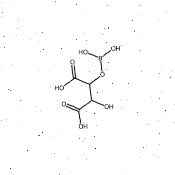 O=C(O)C(O)C(OB(O)O)C(=O)O